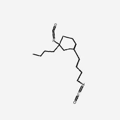 CCCCC1(N=C=O)CCCC(CCCCN=C=O)C1